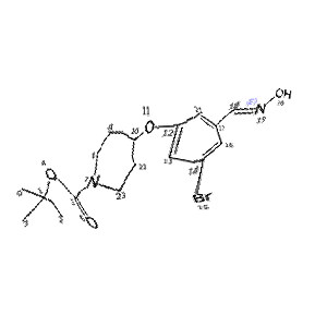 CC(C)(C)OC(=O)N1CCC(Oc2cc(Br)cc(/C=N/O)c2)CC1